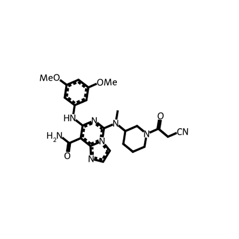 COc1cc(Nc2nc(N(C)C3CCCN(C(=O)CC#N)C3)n3ccnc3c2C(N)=O)cc(OC)c1